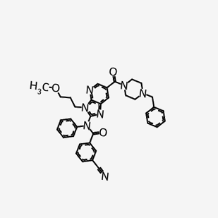 COCCCn1c(N(C(=O)c2cccc(C#N)c2)c2ccccc2)nc2cc(C(=O)N3CCN(Cc4ccccc4)CC3)cnc21